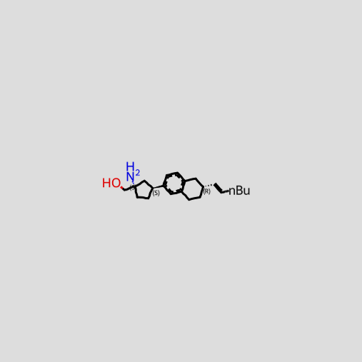 CCCCC=C[C@@H]1CCc2cc([C@H]3CC[C@@](N)(CO)C3)ccc2C1